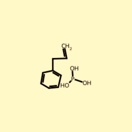 C=CCc1ccccc1.OP(O)O